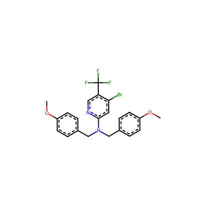 COc1ccc(CN(Cc2ccc(OC)cc2)c2cc(Br)c(C(F)(F)F)cn2)cc1